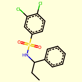 CCC(NS(=O)(=O)c1ccc(Cl)c(Cl)c1)c1ccccc1